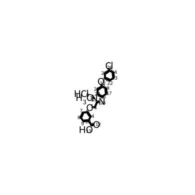 Cl.Cn1c(COc2cccc(C(=O)O)c2)nc2ccc(Oc3cccc(Cl)c3)cc21